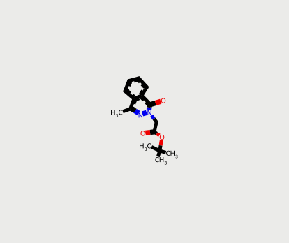 Cc1nn(CC(=O)OC(C)(C)C)c(=O)c2ccccc12